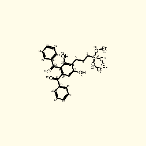 CCO[Si](CCCc1c(O)cc(C(=O)c2ccccc2)c(C(=O)c2ccccc2)c1O)(OCC)OCC